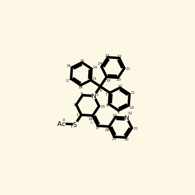 CC(=O)SC1CCN(C(c2ccccc2)(c2ccccc2)c2ccccc2)C/C1=C\c1cccnc1